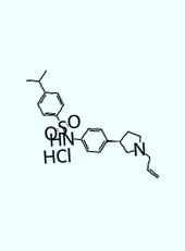 C=CCN1CC[C@H](c2ccc(NS(=O)(=O)c3ccc(C(C)C)cc3)cc2)C1.Cl